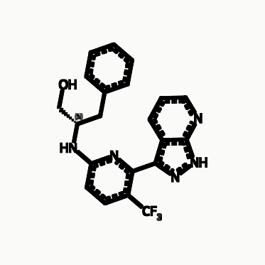 OC[C@H](Cc1ccccc1)Nc1ccc(C(F)(F)F)c(-c2n[nH]c3ncccc23)n1